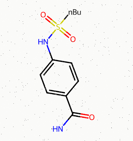 CCCCS(=O)(=O)Nc1ccc(C([NH])=O)cc1